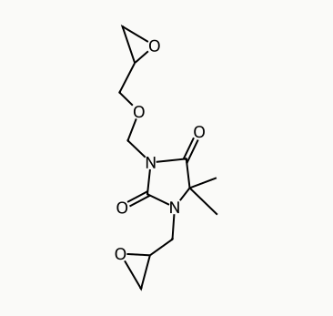 CC1(C)C(=O)N(COCC2CO2)C(=O)N1CC1CO1